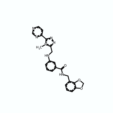 Cn1c(CNc2cccc(C(=O)NCc3cccc4c3OCO4)c2)nnc1-c1ccncn1